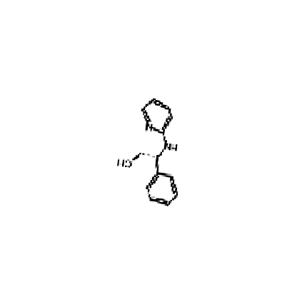 OC[C@H](Nc1ccccn1)c1ccccc1